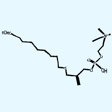 C=C(COP(=O)(O)OCC[N+](C)(C)C)CSCCCCCCCCCCCCCCCCCC